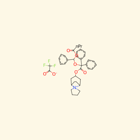 CCCC(=O)OC(OC(C(=O)OC1CC2CCC(C1)[N+]21CCCC1)(c1ccccc1)c1ccccc1)c1ccccc1.O=C([O-])C(F)(F)F